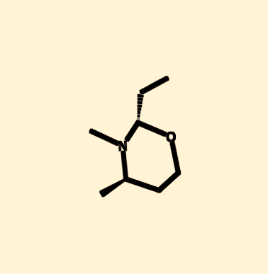 CC[C@@H]1OCC[C@@H](C)N1C